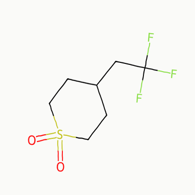 O=S1(=O)CCC(CC(F)(F)F)CC1